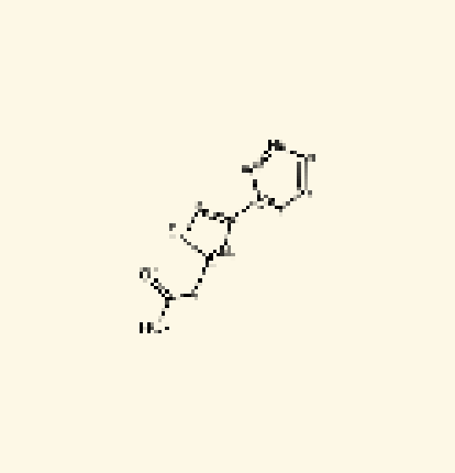 O=C(O)Cc1nc(-c2cccnc2)c[nH]1